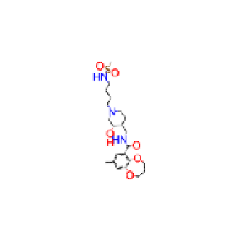 Cc1cc2c(c(C(=O)NC[C@@H]3CCN(CCCCNS(C)(=O)=O)C[C@H]3O)c1)OCCCO2